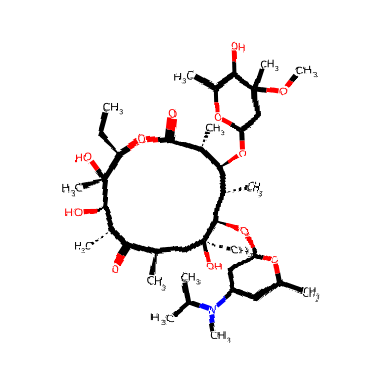 CC[C@H]1OC(=O)[C@H](C)[C@@H](OC2CC(C)(OC)C(O)C(C)O2)[C@H](C)[C@@H](OC2CC(N(C)C(C)C)CC(C)O2)[C@@](C)(O)C[C@@H](C)C(=O)[C@H](C)[C@@H](O)[C@]1(C)O